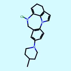 CC1CCN(c2ccc3c(c2)CN(Cl)C2=CCCc4ccn-3c42)CC1